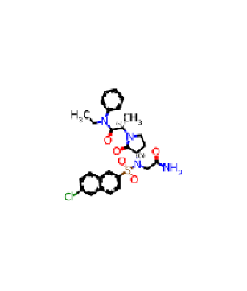 CCN(C(=O)[C@H](C)N1CC[C@H](N(CC(N)=O)S(=O)(=O)c2ccc3cc(Cl)ccc3c2)C1=O)c1ccccc1